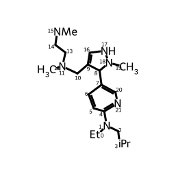 CCN(CC(C)C)c1ccc(C2C(CN(C)CCNC)=CNN2C)cn1